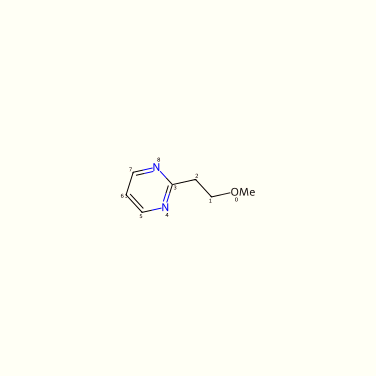 COCCc1nc[c]cn1